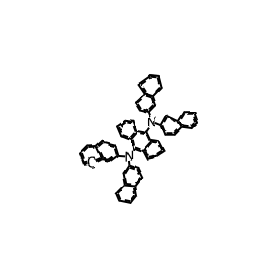 c1ccc2cc(N(c3ccc4ccccc4c3)c3c4ccccc4c(N(c4ccc5ccccc5c4)c4ccc5ccccc5c4)c4ccccc34)ccc2c1